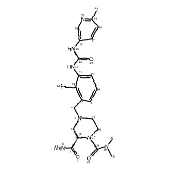 CNC(=O)[C@H]1CN(Cc2cccc(NC(=O)Nc3ccc(C)nc3)c2F)CCN1C(=O)N(C)C